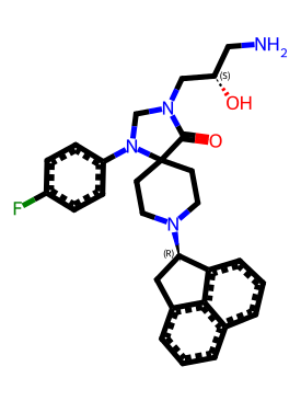 NC[C@H](O)CN1CN(c2ccc(F)cc2)C2(CCN([C@@H]3Cc4cccc5cccc3c45)CC2)C1=O